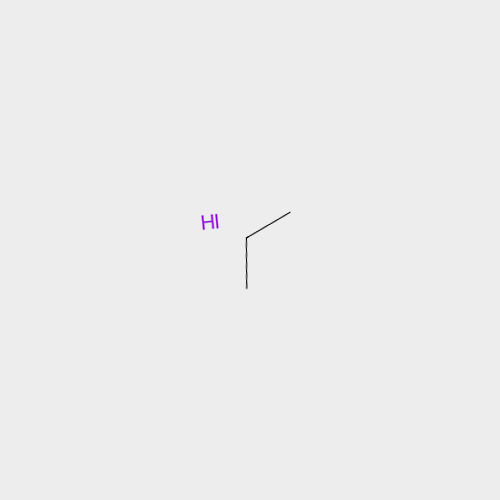 CCC.I